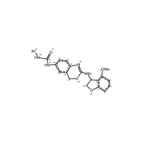 COc1cccc2c1C(NC1=Nc3ccc(NC(=O)NC(C)C)cc3CO1)CO2